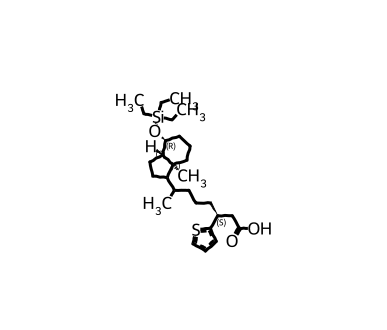 CC[Si](CC)(CC)O[C@@H]1CCC[C@@]2(C)C(C(C)CCC[C@@H](CC(=O)O)c3cccs3)CC[C@H]12